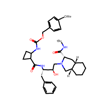 COc1ccc(COC(=O)NC2CCC2C(=O)N[C@@H](Cc2ccccc2)[C@H](O)CN2C[C@H]3CCCC[C@H]3C[C@H]2C(=O)NC(C)(C)C)cc1